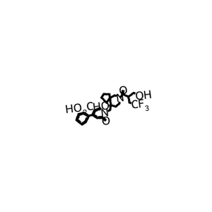 O=C(O)c1cn(CC2(O)CCN(C(=O)C(CO)CC(F)(F)F)CC23CCCC3)c(=O)cc1-c1ccccc1